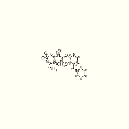 CCN(C1=NS(=O)(=O)N=C(N)N1C)C1COc2c(CN3CCCCC3)cccc2O1